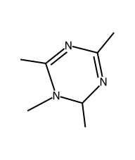 CC1=NC(C)N(C)C(C)=N1